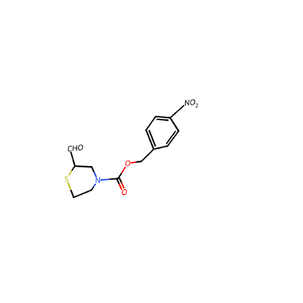 O=CC1CN(C(=O)OCc2ccc([N+](=O)[O-])cc2)CCS1